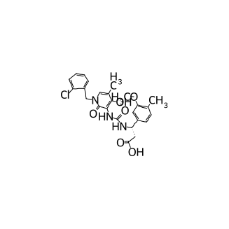 COc1cc([C@H](CC(=O)O)NC(=O)Nc2c(O)c(C)cn(Cc3ccccc3Cl)c2=O)ccc1C